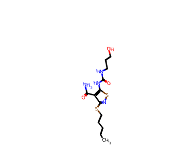 CCCCCSc1nsc(NC(=O)NCCCO)c1C(N)=O